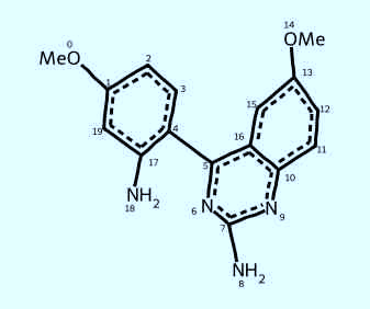 COc1ccc(-c2nc(N)nc3ccc(OC)cc23)c(N)c1